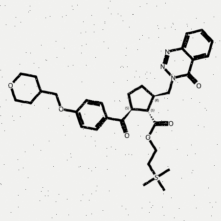 CS(C)(C)CCOC(=O)[C@H]1[C@H](Cn2nnc3ccccc3c2=O)CC[C@@H]1C(=O)c1ccc(OCC2CCOCC2)cc1